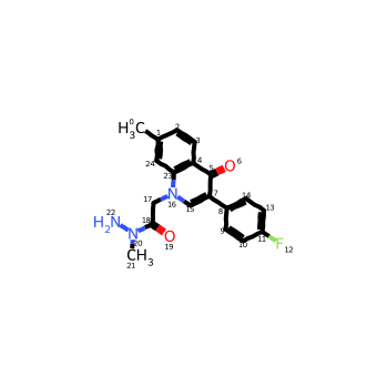 Cc1ccc2c(=O)c(-c3ccc(F)cc3)cn(CC(=O)N(C)N)c2c1